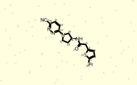 CC(C)c1ccc(CC(=O)N[C@H]2CCN(c3ccc(C#N)nn3)C2)s1